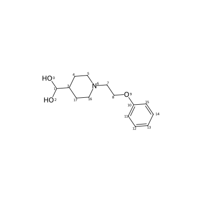 OC(O)C1CCN(CCOc2ccccc2)CC1